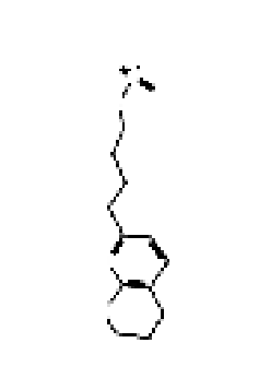 CS(=O)(=O)NCCCCc1ccc2c(n1)NCCC2